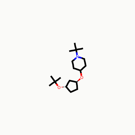 CC(C)(C)O[C@H]1CC[C@H](OC2CCN(C(C)(C)C)CC2)C1